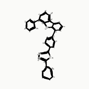 c1ccc(-c2nnc(-c3ccc(-c4cccc5c4oc4c(-c6ccccc6)cccc45)cc3)o2)cc1